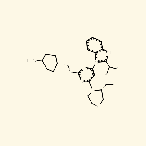 N[C@H]1CC[C@H](CNc2nc(N3CCOC[C@@H]3CF)cc(-n3c(C(F)F)nc4ccccc43)n2)CC1